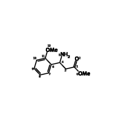 COC(=O)CC(N)c1ccccc1OC